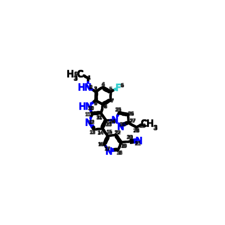 CCNc1cc(F)cc2c1[nH]c1ncc(-c3cncc(C#N)c3)c(-n3ccc(CC)n3)c12